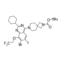 CC(C)(C)OC(=O)N1CC2(CCN(c3nc(C4CCCCC4)nc4c(OCC(F)(F)F)c(Br)c(I)cc34)CC2)C1